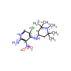 CN1C(C)(C)CC(Nc2c(Br)cnc(N)c2[N+](=O)[O-])CC1(C)C